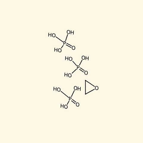 C1CO1.O=P(O)(O)O.O=P(O)(O)O.O=P(O)(O)O